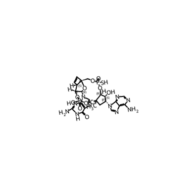 C[C@@]12COP(=O)(O)O[C@H]3[C@H](n4cnc5c(=O)[nH]c(N)nc54)O[C@]4(C=C[C@@H]34)CO[P@](=O)(S)O[C@H]1[C@@H](O)[C@H](n1cnc3c(N)ncnc31)C2